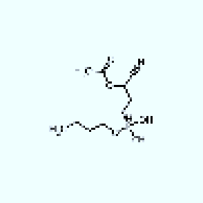 CCCCO[PH](C)(O)CCC(C#N)OC(C)=O